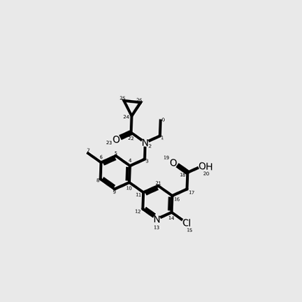 CCN(Cc1cc(C)ccc1-c1cnc(Cl)c(CC(=O)O)c1)C(=O)C1CC1